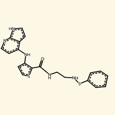 O=C(NCCNSc1ccccc1)c1sccc1Nc1ccnc2[nH]ccc12